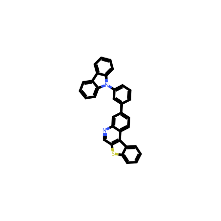 c1cc(-c2ccc3c(c2)ncc2sc4ccccc4c23)cc(-n2c3ccccc3c3ccccc32)c1